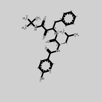 CC(C)C[C@H](NC(=O)c1ccc(O)nc1)C(=O)NC(Cc1ccccc1)C(=O)C(=O)NC(C)(C)C